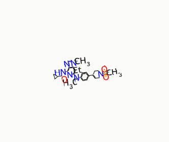 CCc1cc(C2=CCN(S(C)(=O)=O)CC2)ccc1N(C)c1cc2c(ncn2C)c(NC(=O)C2CC2)n1